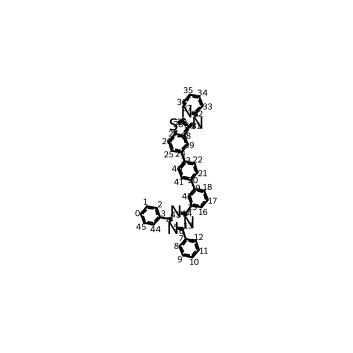 c1ccc(-c2nc(-c3ccccc3)nc(-c3cccc(-c4ccc(-c5ccc6sc7c(nc8ccccn87)c6c5)cc4)c3)n2)cc1